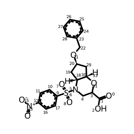 O=C(O)C1CN(S(=O)(=O)c2ccc([N+](=O)[O-])cc2)[C@@H]2C[C@@H](OCc3ccccc3)C[C@@H]2O1